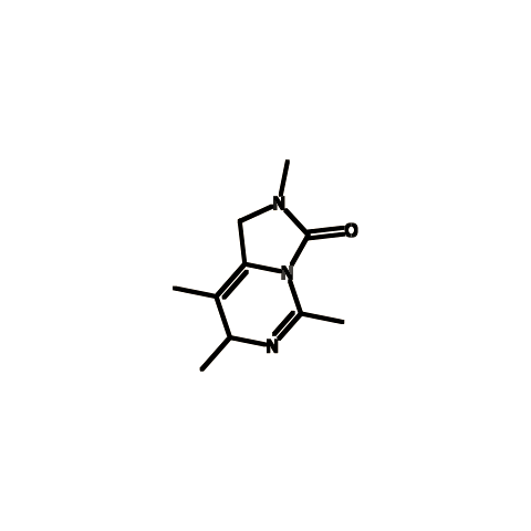 CC1=NC(C)C(C)=C2CN(C)C(=O)N12